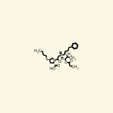 CCCCS[C@@H]1C[C@@H](C(=O)O)N(C(=O)CP(=O)(CCCCc2ccccc2)O[C@@H](OC(=O)CC)C(C)C)C1